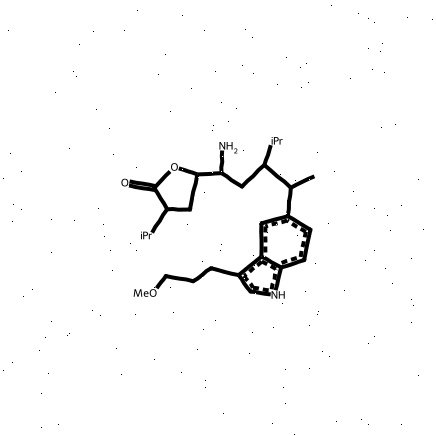 COCCCc1c[nH]c2ccc(C(C)C(CC(N)C3CC(C(C)C)C(=O)O3)C(C)C)cc12